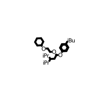 CCC(C)c1ccc(OC(CC(C(C)C)C(C)C)OCCOC2CCCCC2)cc1